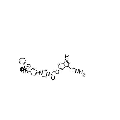 NCCc1c[nH]c2ccc(OCC(=O)N3CCN(c4ccc(NS(=O)(=O)c5ccccc5)cc4)CC3)cc12